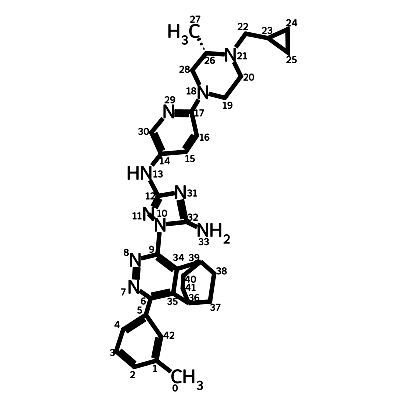 Cc1cccc(-c2nnc(-n3nc(Nc4ccc(N5CCN(CC6CC6)[C@@H](C)C5)nc4)nc3N)c3c2C2CCC3CC2)c1